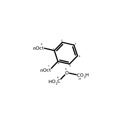 CCCCCCCCc1ccccc1CCCCCCCC.O=C(O)OC(=O)O